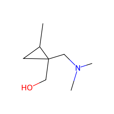 CC1CC1(CO)CN(C)C